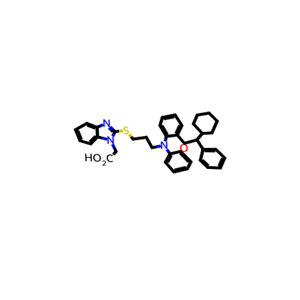 O=C(O)Cn1c(SCCCN(c2ccccc2)c2ccccc2C(=O)C(c2ccccc2)C2CCCCC2)nc2ccccc21